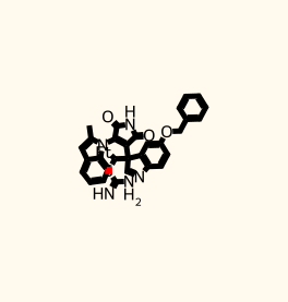 CCC(SC(=N)N)C1(C2=C(n3c(C)cc4ccccc43)C(=O)NC2=O)C=Nc2ccc(OCc3ccccc3)cc21